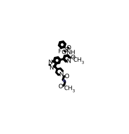 COc1ncc(-c2ccc3ncnc(C4CCN(C(=O)/C=C/C(C)=O)CC4)c3c2)cc1NS(=O)(=O)c1ccccc1F